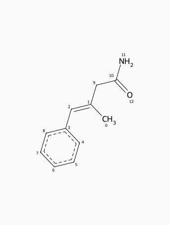 C/C(=C\c1ccccc1)CC(N)=O